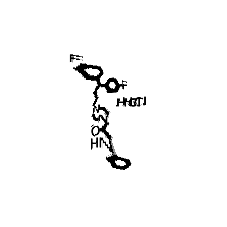 COC(CNc1ccccc1)CN1CCN(CCCC(c2ccc(F)cc2)c2ccc(F)cc2)CC1.Cl.Cl